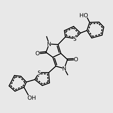 CN1C(=O)C2=C(c3ccc(-c4ccccc4O)s3)N(C)C(=O)C2=C1c1ccc(-c2ccccc2O)s1